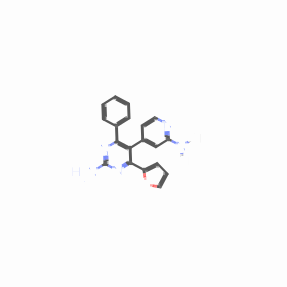 CN(C)c1cc(-c2c(-c3ccccc3)nc(N)nc2-c2ccco2)ccn1